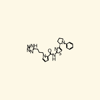 O=C(Nc1nc([C@H]2CCCN2c2ccccc2)cs1)c1cccn1CCCc1nnn[nH]1